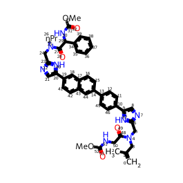 C=C(C)CN(Cc1ncc(-c2ccc(-c3ccc4cc(-c5cnc(CN(CCC)C(=O)C(NC(=O)OC)c6ccccc6)[nH]5)ccc4c3)cc2)[nH]1)C(=O)CNC(=O)OC